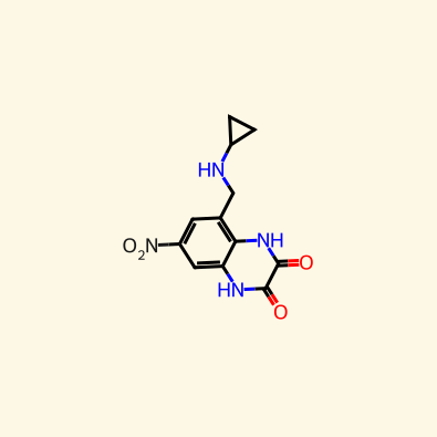 O=c1[nH]c2cc([N+](=O)[O-])cc(CNC3CC3)c2[nH]c1=O